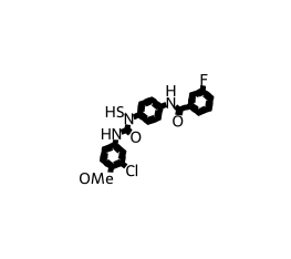 COc1ccc(NC(=O)N(S)c2ccc(NC(=O)c3cccc(F)c3)cc2)cc1Cl